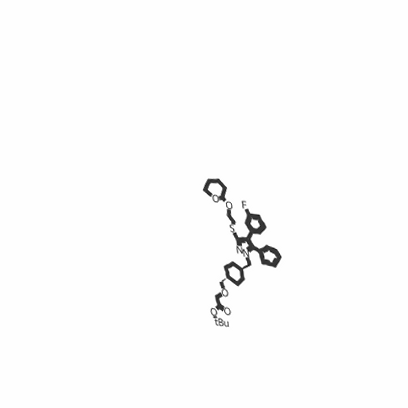 CC(C)(C)OC(=O)COC[C@H]1CC[C@H](Cn2nc(SCCOC3CCCCO3)c(-c3cccc(F)c3)c2-c2ccccc2)CC1